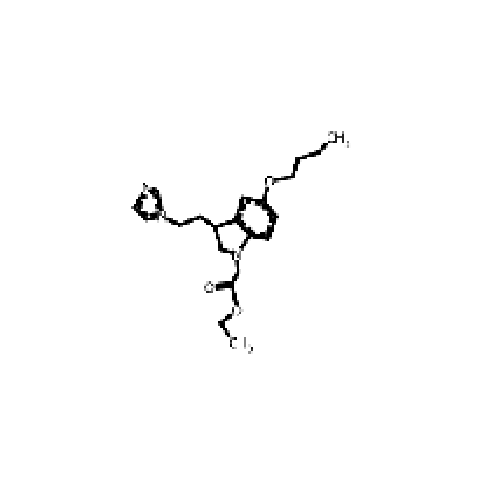 CCCCOc1ccc2c(c1)C(CCn1ccnc1)CN2CC(=O)OCC